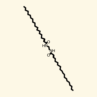 CCCCCCCCCCCCCCCCC/C=C/C(=O)NCCNC(=O)/C=C/CCCCCCCCCCCCCCCCC